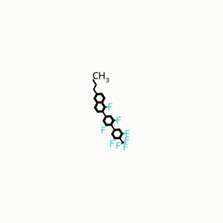 CCCCc1ccc2c(F)c(-c3cc(F)c(-c4cc(F)c(C(F)(F)F)c(F)c4)c(F)c3)ccc2c1